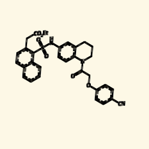 CCOC(=O)Cc1ccc2ccccc2c1S(=O)(=O)Nc1ccc2c(c1)CCCN2C(=O)COc1ccc(C#N)cc1